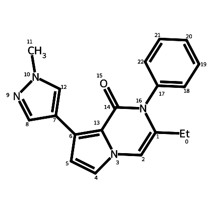 CCc1cn2ccc(-c3cnn(C)c3)c2c(=O)n1-c1ccccc1